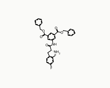 N[C@H](Cc1ccc(F)cc1F)C(=O)Nc1cc(C(=O)OCc2ccccc2)cc(C(=O)OCc2ccccc2)c1